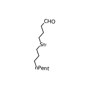 CCCCCCC[CH2][Sn][CH2]CCC=O